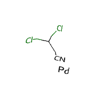 N#CC(Cl)Cl.[Pd]